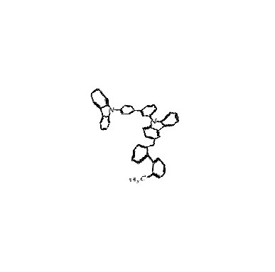 Cc1ccccc1-c1ccccc1Cc1ccc2c(c1)c1ccccc1n2-c1cccc(-c2ccc(-n3c4ccccc4c4ccccc43)cc2)c1